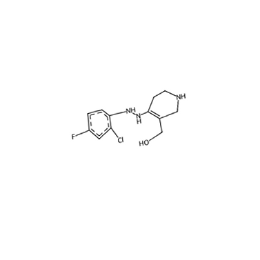 OCC1=C(NNc2ccc(F)cc2Cl)CCNC1